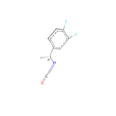 C[C@@H](N=C=O)c1ccc(F)c(F)c1